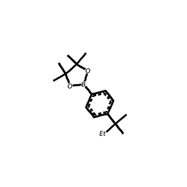 CCC(C)(C)c1ccc(B2OC(C)(C)C(C)(C)O2)cc1